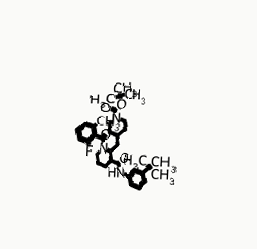 Cc1cccc(F)c1C(=O)N1CCCC(C(=O)Nc2cccc(C(C)(C)C)c2)C1CC1CCN(C(=O)OC(C)(C)C)CC1